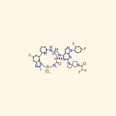 CO[C@H]1CN(C)C(=O)[C@@H]2C[C@@H](CN2c2nc(N3CCC34CCN(C(=O)C(F)F)C4)nc3c2cnn3-c2ccc(F)cc2F)Nc2cccc(n2)-c2cc(F)cc3nc(C)n(c23)C1